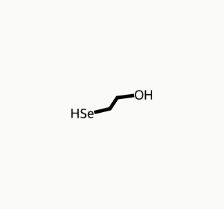 OCC[SeH]